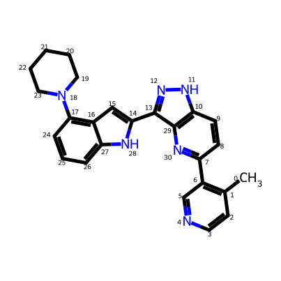 Cc1ccncc1-c1ccc2[nH]nc(-c3cc4c(N5CCCCC5)cccc4[nH]3)c2n1